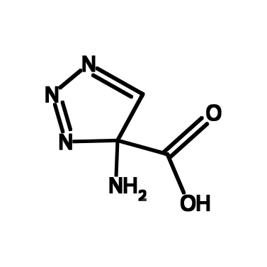 NC1(C(=O)O)C=NN=N1